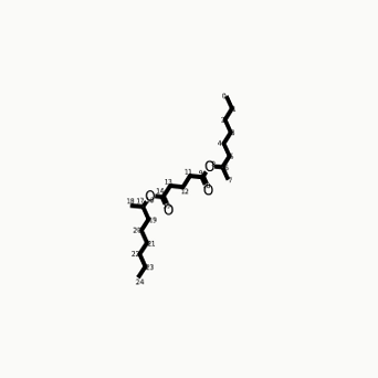 CCCCCCC(C)OC(=O)CCCC(=O)OC(C)CCCCCC